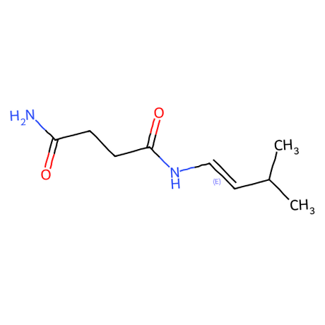 CC(C)/C=C/NC(=O)CCC(N)=O